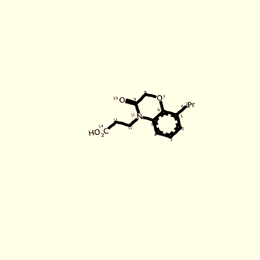 CC(C)c1cccc2c1OCC(=O)N2CCC(=O)O